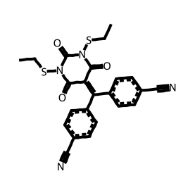 CCSN1C(=O)C(=C(c2ccc(C#N)cc2)c2ccc(C#N)cc2)C(=O)N(SCC)C1=O